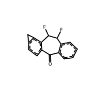 O=C1c2ccccc2C(F)C(F)c2c1ccc1c2C1